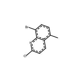 Cc1ccc(Br)c2nc(Cl)ccc12